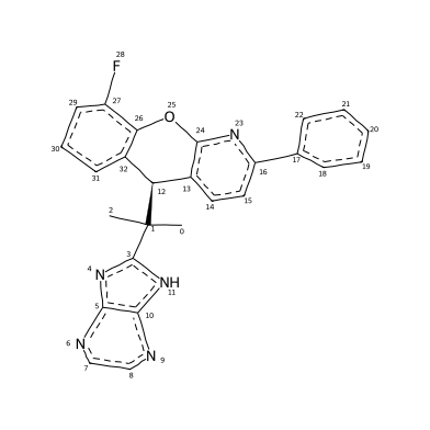 CC(C)(c1nc2nccnc2[nH]1)[C@@H]1c2ccc(-c3ccccc3)nc2Oc2c(F)cccc21